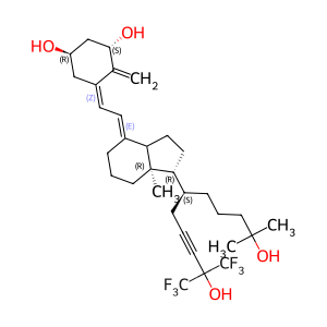 C=C1/C(=C\C=C2/CCC[C@@]3(C)C2CC[C@@H]3[C@H](CC#CC(O)(C(F)(F)F)C(F)(F)F)CCCC(C)(C)O)C[C@@H](O)C[C@@H]1O